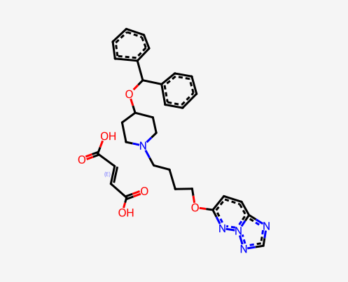 O=C(O)/C=C/C(=O)O.c1ccc(C(OC2CCN(CCCCOc3ccc4ncnn4n3)CC2)c2ccccc2)cc1